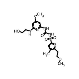 COCCc1sc(S(=O)(=O)NC(=O)Nc2cc(SC)cc(NCCO)n2)cc1C